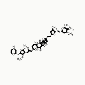 C=C1C[C@H](CC[C@@]23C[C@H]4OC5[C@@H](O[C@H]6CC[C@H](CC(=O)C[C@@H]7[C@@H](OC)[C@@H](C[C@H]8CNCCO8)O[C@H]7C)O[C@@H]6[C@@H]5O2)[C@H]4O3)O[C@H]1CC[C@H]1C[C@@H](C)C(=C)[C@@H](C)O1